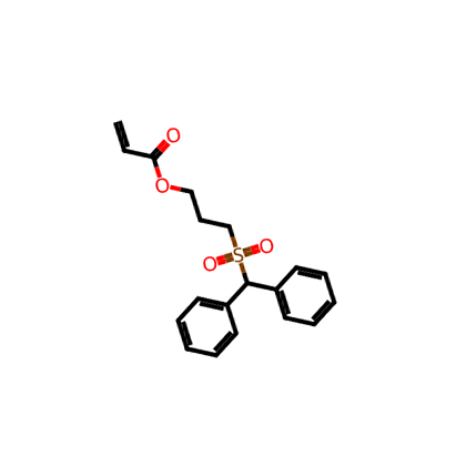 C=CC(=O)OCCCS(=O)(=O)C(c1ccccc1)c1ccccc1